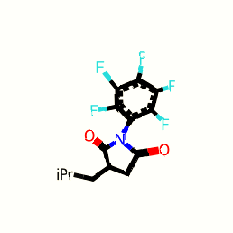 CC(C)CC1CC(=O)N(c2c(F)c(F)c(F)c(F)c2F)C1=O